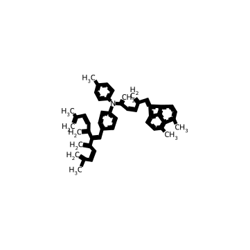 C=C(C)/C=C\C(=C)C(=Cc1ccc(N(C(=C)/C=C\C(=C)C=c2c3ccc(C)c4c(C)ccc2c43)c2ccc(C)cc2)cc1)C(=C)/C=C\C(=C)C